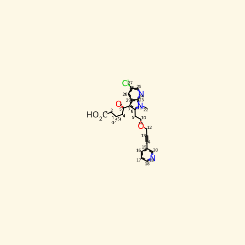 C[C@H](CC(=O)O)CC(=O)c1c(CCOCC#Cc2cccnc2)n(C)c2ncc(Cl)cc12